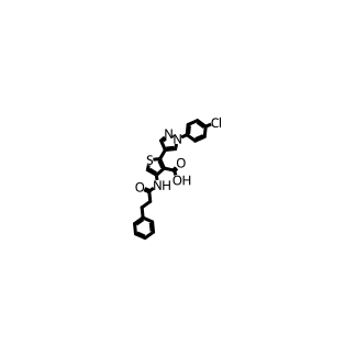 O=C(CCc1ccccc1)Nc1csc(-c2cnn(-c3ccc(Cl)cc3)c2)c1C(=O)O